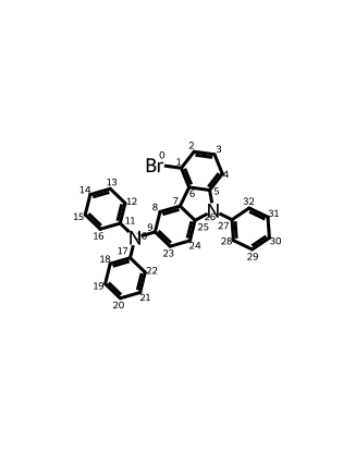 Brc1cccc2c1c1cc(N(c3ccccc3)c3ccccc3)ccc1n2-c1ccccc1